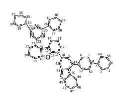 c1ccc(-c2ccc(-c3cc(-c4cccc5c4oc4cccc(-c6nc(-c7ccccc7)nc(-c7ccccc7)n6)c45)cc4sc5ccccc5c34)cc2)cc1